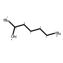 CC(C)(C)CCCCC(O)C(C)(C)C